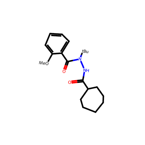 COc1ccccc1C(=O)N(NC(=O)C1CCCCCC1)C(C)(C)C